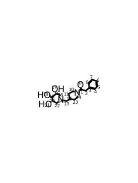 O=C(Cc1ccccc1)N1CCC(CN2C[C@@H](O)C(O)[C@@H](O)C2)CC1